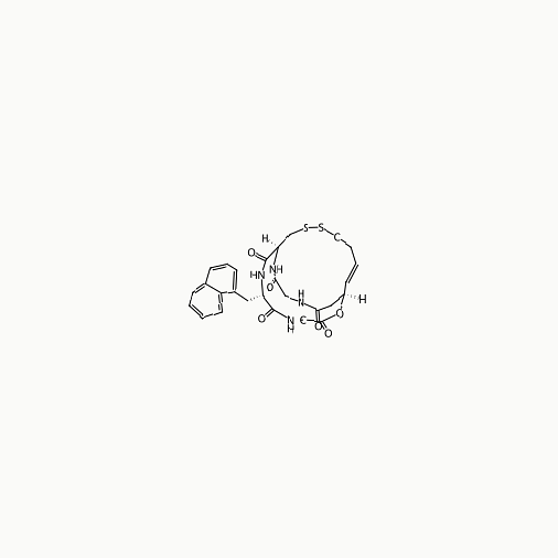 O=C1C[C@H]2/C=C/CCSSC[C@@H](NC(=O)CN1)C(=O)N[C@@H](Cc1cccc3ccccc13)C(=O)NCC(=O)O2